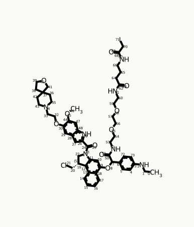 CCNc1ccc(C(Oc2cc3c(c4ccccc24)[C@H](CCl)CN3C(=O)c2cc3cc(OCCN4CCC5(CCOC5)CC4)c(OC)cc3[nH]2)C(=O)NCCOCCOCCNC(=O)CCCNC(=O)CI)cc1